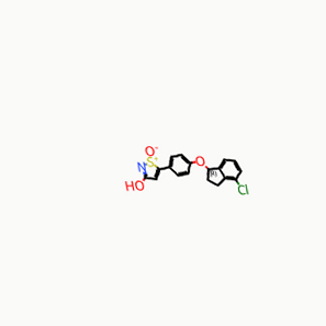 [O-][s+]1nc(O)cc1-c1ccc(O[C@@H]2CCc3c(Cl)cccc32)cc1